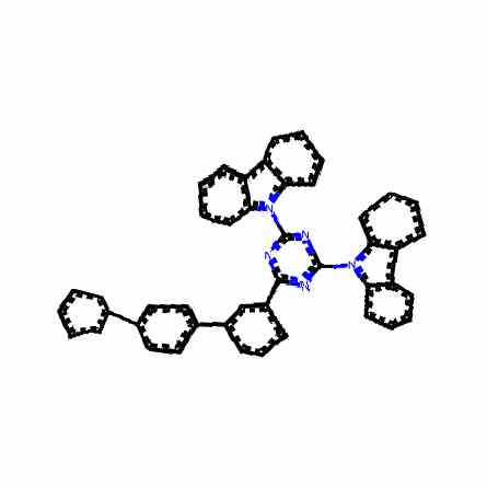 c1ccc(-c2ccc(-c3cccc(-c4nc(-n5c6ccccc6c6ccccc65)nc(-n5c6ccccc6c6ccccc65)n4)c3)cc2)cc1